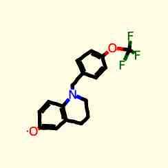 [O]c1ccc2c(c1)CCCN2Cc1ccc(OC(F)(F)F)cc1